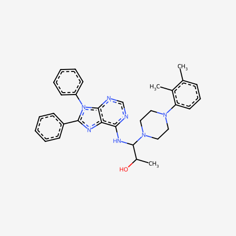 Cc1cccc(N2CCN(C(Nc3ncnc4c3nc(-c3ccccc3)n4-c3ccccc3)C(C)O)CC2)c1C